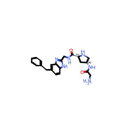 NCC(=O)N[C@H]1CN[C@H](C(=O)NCc2nc3cc(Cc4ccccc4)ccc3[nH]2)C1